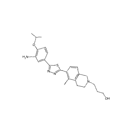 Cc1c(-c2nnc(-c3ccc(OC(C)C)c(N)c3)s2)ccc2c1CCN(CCCO)C2